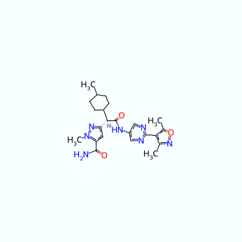 Cc1noc(C)c1-c1ncc(NC(=O)[C@H](c2cc(C(N)=O)n(C)n2)C2CCC(C)CC2)cn1